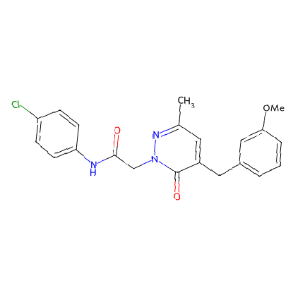 COc1cccc(Cc2cc(C)nn(CC(=O)Nc3ccc(Cl)cc3)c2=O)c1